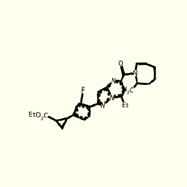 CCOC(=O)C1CC1c1ccc(-c2cc3nc(C(=O)N4CCCCCC4C)cc(CC)n3n2)c(F)c1